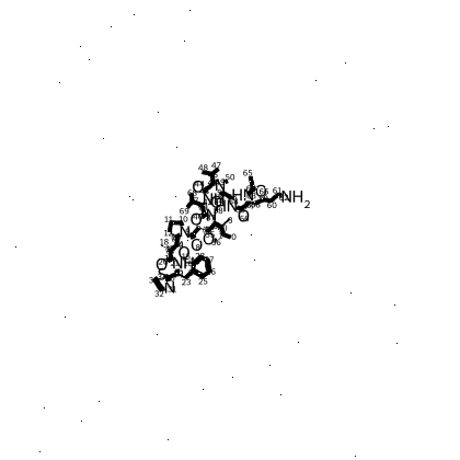 CC[C@H](C)[C@@H]([C@@H](CC(=O)N1CCC[C@H]1[C@H](OC)[C@@H](C)C(=O)N[C@@H](Cc1ccccc1)c1nccs1)OC)N(C)C(=O)[C@@H](NC(=O)C(C(C)C)N(C)C(=O)CNC(=O)[C@H](CCCCN)NC(C)=O)C(C)C